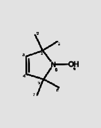 CC1(C)C=CC(C)(C)N1O